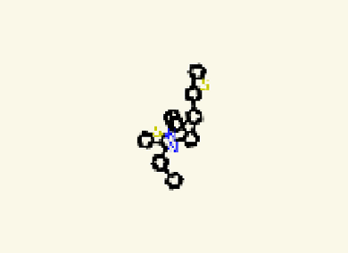 c1ccc(-c2cccc(-c3nc(-c4cccc5c4C4(c6cc(-c7ccc8c(c7)sc7ccccc78)ccc6-5)C5CC6CC(C5)CC4C6)nc4sc5ccccc5c34)c2)cc1